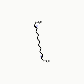 O=C(O)/C=C/CCCCCCC/C=C/C(=O)O